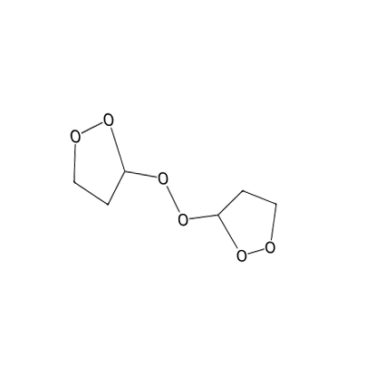 C1CC(OOC2CCOO2)OO1